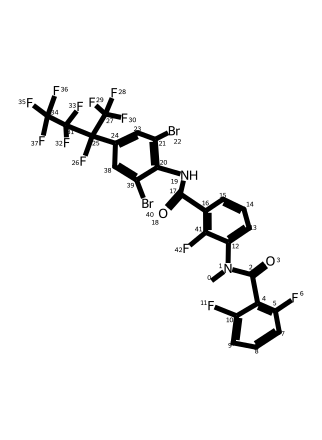 CN(C(=O)c1c(F)cccc1F)c1cccc(C(=O)Nc2c(Br)cc(C(F)(C(F)(F)F)C(F)(F)C(F)(F)F)cc2Br)c1F